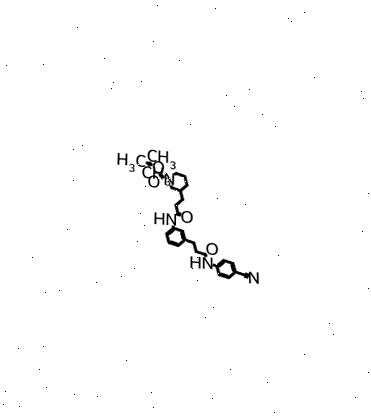 CC(C)(C)OC(=O)N1CCCC(CCC(=O)Nc2cccc(CCC(=O)Nc3ccc(C#N)cc3)c2)C1